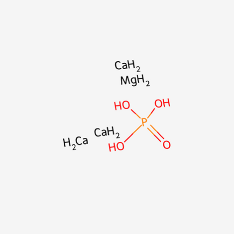 O=P(O)(O)O.[CaH2].[CaH2].[CaH2].[MgH2]